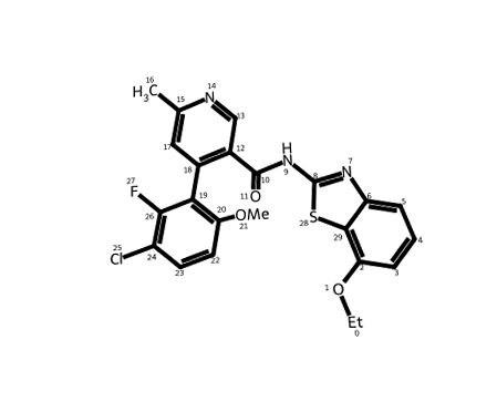 CCOc1cccc2nc(NC(=O)c3cnc(C)cc3-c3c(OC)ccc(Cl)c3F)sc12